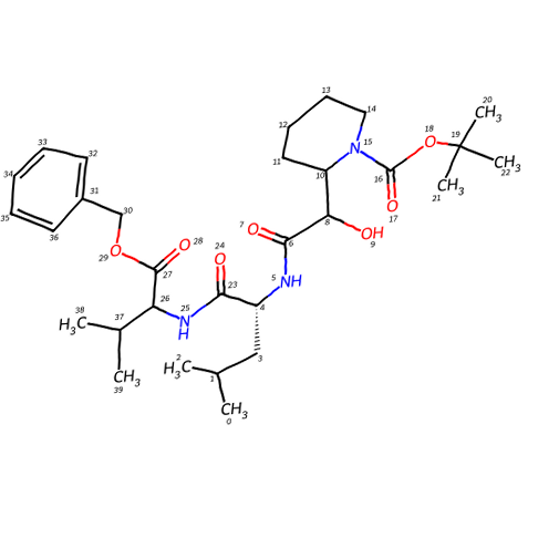 CC(C)C[C@@H](NC(=O)C(O)C1CCCCN1C(=O)OC(C)(C)C)C(=O)NC(C(=O)OCc1ccccc1)C(C)C